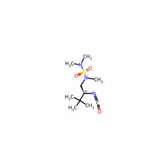 CN(C)S(=O)(=O)N(C)C[C@@H](N=C=O)C(C)(C)C